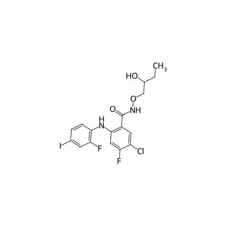 CCC(O)CONC(=O)c1cc(Cl)c(F)cc1Nc1ccc(I)cc1F